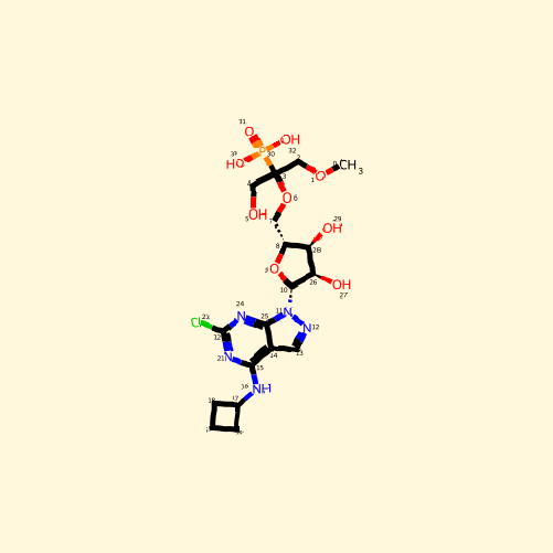 COCC(CO)(OC[C@H]1O[C@@H](n2ncc3c(NC4CCC4)nc(Cl)nc32)[C@H](O)[C@@H]1O)P(=O)(O)O